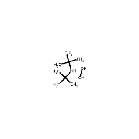 CC(C)(C)NC(C)(C)C.OO